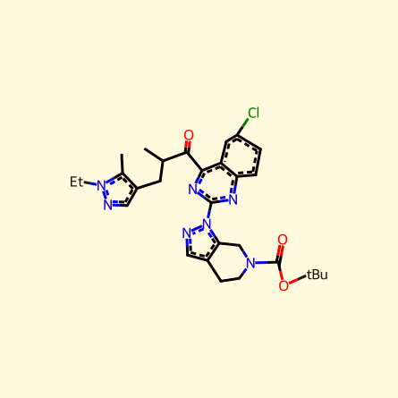 CCn1ncc(CC(C)C(=O)c2nc(-n3ncc4c3CN(C(=O)OC(C)(C)C)CC4)nc3ccc(Cl)cc23)c1C